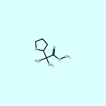 COC(=O)C(C)(N)C1CCCO1